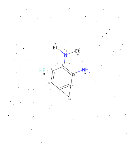 CCN(CC)c1ccc2c(c1N)C2.F